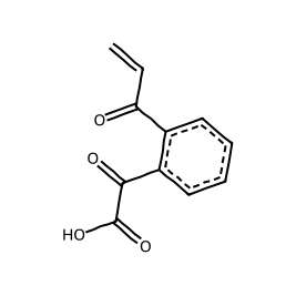 C=CC(=O)c1ccccc1C(=O)C(=O)O